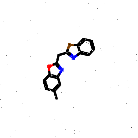 Cc1ccc2oc(Cc3nc4ccccc4s3)nc2c1